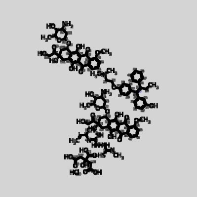 C=CC(C)N=C(S)NNC(S)=NC.CC/C(=C(/c1ccc(OCCN(C)C)cc1)c1cccc(O)c1)c1ccccc1.COc1cccc2c1C(=O)c1c(O)c3c(c(O)c1C2=O)C[C@@](O)(C(=O)CO)C[C@@H]3OC1CC(N)C(O)C(C)O1.COc1cccc2c1C(=O)c1c(O)c3c(c(O)c1C2=O)C[C@@](O)(C(=O)CO)C[C@@H]3O[C@H]1C[C@H](N)[C@H](O)[C@H](C)O1.Cl.O=C(O)CC(O)(CC(=O)O)C(=O)O